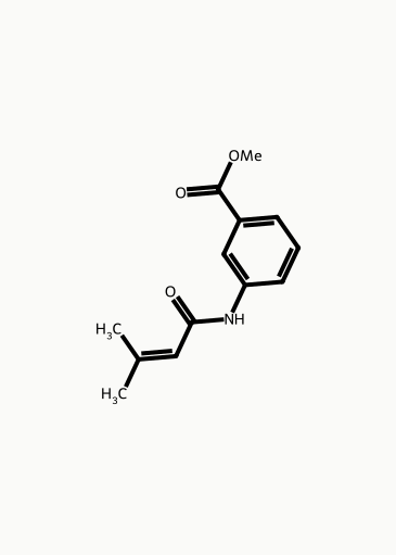 COC(=O)c1cccc(NC(=O)C=C(C)C)c1